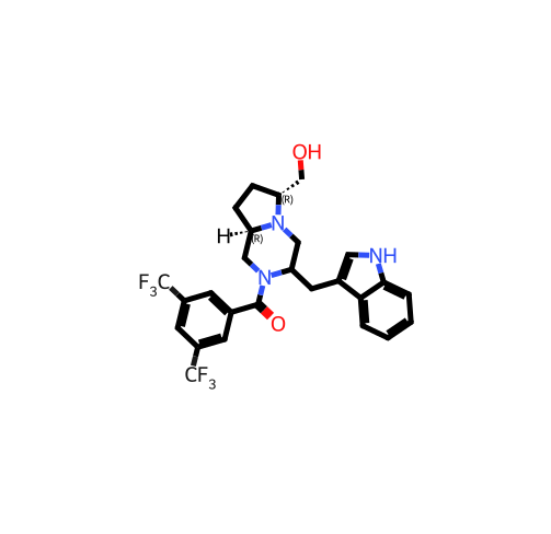 O=C(c1cc(C(F)(F)F)cc(C(F)(F)F)c1)N1C[C@H]2CC[C@H](CO)N2CC1Cc1c[nH]c2ccccc12